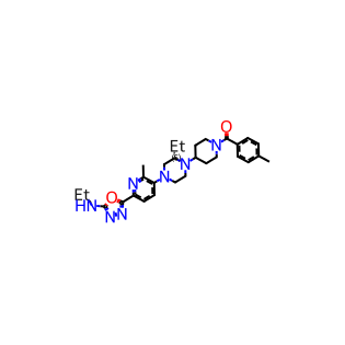 CCNc1nnc(-c2ccc(N3CCN(C4CCN(C(=O)c5ccc(C)cc5)CC4)[C@@H](CC)C3)c(C)n2)o1